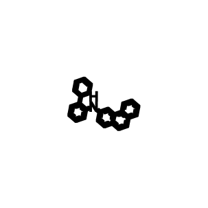 C1=CCC(c2ccccc2Nc2ccc3ccc4ccccc4c3c2)C=C1